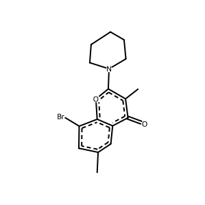 Cc1cc(Br)c2oc(N3CCCCC3)c(C)c(=O)c2c1